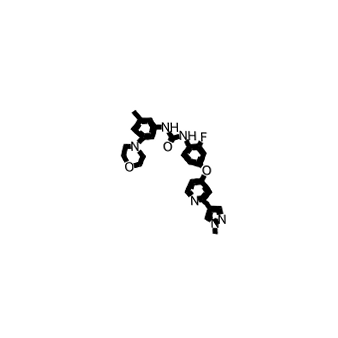 Cc1cc(NC(=O)Nc2ccc(Oc3ccnc(-c4cnn(C)c4)c3)cc2F)cc(N2CCOCC2)c1